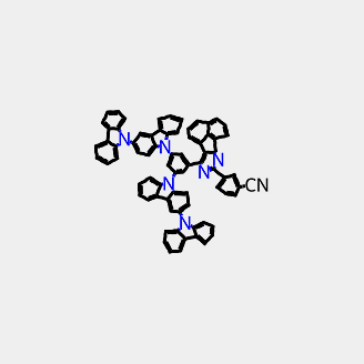 N#Cc1cccc(-c2nc(-c3cc(-n4c5ccccc5c5cc(-n6c7ccccc7c7ccccc76)ccc54)cc(-n4c5ccccc5c5cc(-n6c7ccccc7c7ccccc76)ccc54)c3)c3c(n2)-c2cccc4cccc-3c24)c1